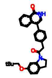 CC(C)(C)COc1ccc2c(c1)N(C(=O)Cc1ccc(-c3c[nH]c(=O)c4ccccc34)cc1)CC2